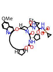 CCC1C[C@]1(NC(=O)[C@@H]1C[C@@H]2CN1C(=O)[C@H](C1CCCC1)NC(=O)O[C@@H]1CCC[C@H]1CCCCCc1nc3ccc(OC)cc3cc1O2)C(=O)NS(=O)(=O)C1CC1